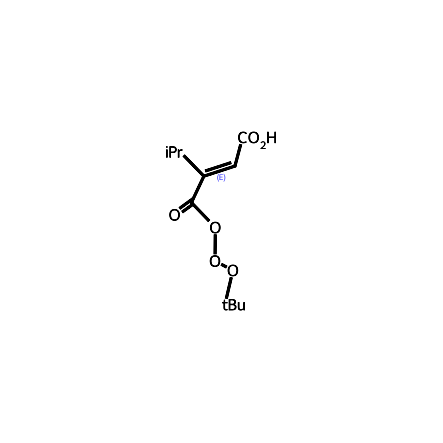 CC(C)/C(=C\C(=O)O)C(=O)OOOC(C)(C)C